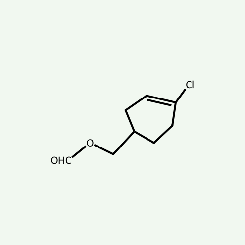 O=COCC1CC=C(Cl)CC1